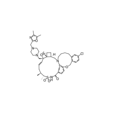 CO[C@@]1(CN2CCN(Cc3nc(C)c(C)o3)CC2)/C=C/C[C@H](C)[C@@H](C)S(=O)(=O)NC(=O)c2ccc3c(c2)N(CCCCc2cc(Cl)ccc2CO3)C[C@@H]2CC[C@H]21